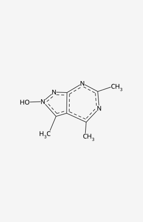 Cc1nc(C)c2c(C)n(O)nc2n1